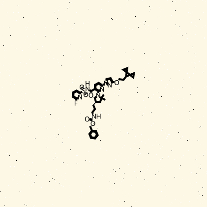 CC1(C)C[C@@H](CCCNC(=O)OCc2ccccc2)CN1c1nc(-n2ccc(OCCC3C4(CC4)C34CC4)n2)ccc1C(=O)NS(=O)(=O)c1cccc(F)n1